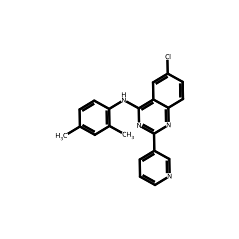 Cc1ccc(Nc2nc(-c3cccnc3)nc3ccc(Cl)cc23)c(C)c1